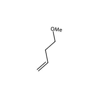 C=CCCOC